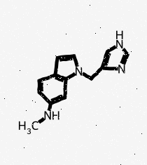 CNc1ccc2ccn(Cc3c[nH]cn3)c2c1